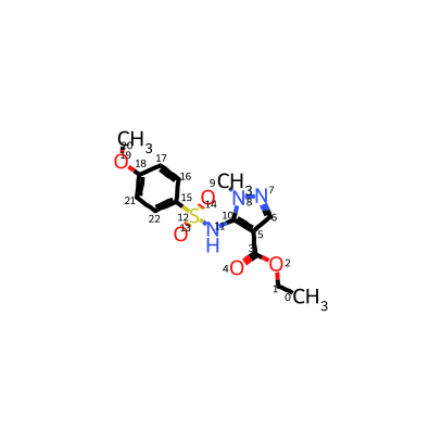 CCOC(=O)c1cnn(C)c1NS(=O)(=O)c1ccc(OC)cc1